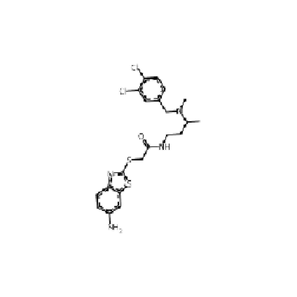 CC(CCNC(=O)CSc1nc2ccc(N)cc2s1)N(C)Cc1ccc(Cl)c(Cl)c1